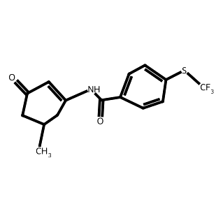 CC1CC(=O)C=C(NC(=O)c2ccc(SC(F)(F)F)cc2)C1